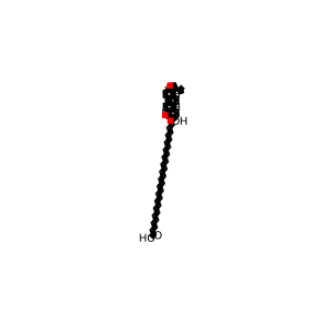 C=C(C)[C@@H]1CC[C@]2(C)CC[C@]3(C)[C@H](CC[C@@H]4[C@@]5(C)CCC(O)(CCCCCCCCCCCCCCCCCCCCCCCCCCCCCCCC(=O)O)C(C)(C)[C@@H]5CC[C@]43C)[C@@H]12